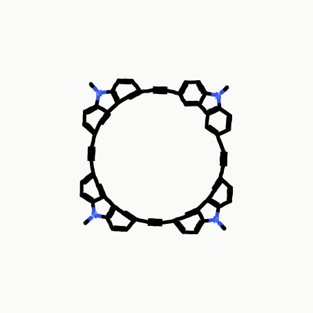 Cn1c2ccc3cc2c2cc(ccc21)C#Cc1ccc2c(c1)c1cc(ccc1n2C)C#Cc1ccc2c(c1)c1cc(ccc1n2C)C#Cc1ccc2c(c1)c1cc(ccc1n2C)C#C3